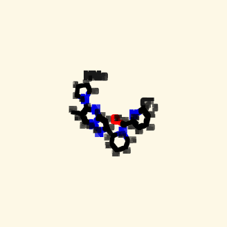 CN[C@H]1CCN(c2nc3cc([C@@H]4CCCCN4C(=O)c4cccc(C(F)(F)F)n4)nn3cc2C)C1